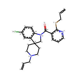 C=CCSc1ncccc1C(=O)N1CC2(CCN(CC=C)CC2)c2cc(F)ccc21